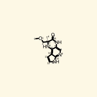 COC[C@]1(C)Nc2c(cnc3[nH]ccc23)NC1=O